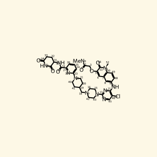 CNC(=O)COc1cc2cc(Nc3nc(N4CCN(CC5CCN(c6cccc(C(=O)NC7CCC(=O)NC7=O)n6)CC5)CC4)ncc3Cl)ccc2n(C)c1=O